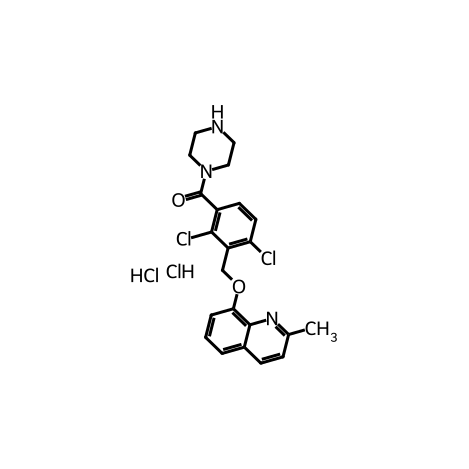 Cc1ccc2cccc(OCc3c(Cl)ccc(C(=O)N4CCNCC4)c3Cl)c2n1.Cl.Cl